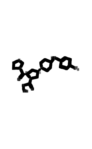 CC(C)(C)OC(=O)N1C[C@@H](N2CCC(Nc3ccc(C(F)(F)F)cc3)CC2)C[C@H]1C(=O)N1CCSC1